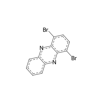 Brc1ccc(Br)c2nc3ccccc3nc12